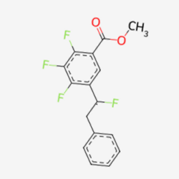 COC(=O)c1cc([C](F)Cc2ccccc2)c(F)c(F)c1F